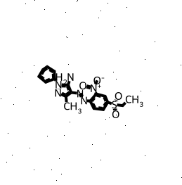 CCS(=O)(=O)c1ccc(N=Nc2c(C)nn(-c3ccccc3)c2N)c([N+](=O)[O-])c1